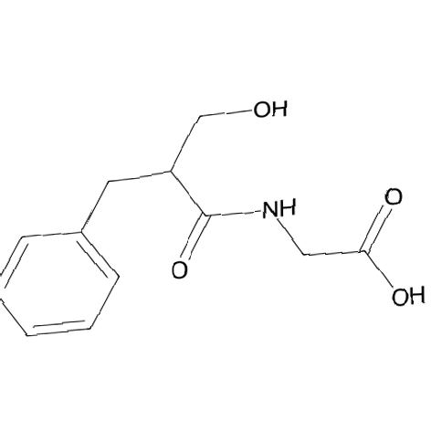 O=C(O)CNC(=O)C(CO)Cc1ccccc1